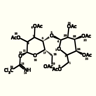 CC(=O)OCC1O[C@@H](O[C@H]2C(OC(C)=O)C(OC(C)=O)[C@H](OC(=N)C(Cl)(Cl)Cl)O[C@H]2COC(C)=O)C(OC(C)=O)[C@@H](OC(C)=O)[C@H]1OC(C)=O